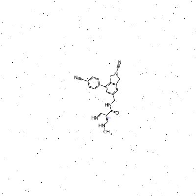 CN/C=C(\C=N)C(=O)NCc1cc2c(c(-c3ccc(C#N)cc3)c1)CN(C#N)C2